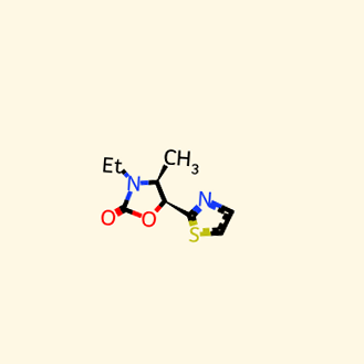 CCN1C(=O)O[C@H](c2nccs2)[C@@H]1C